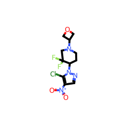 O=[N+]([O-])c1cnn(C2CCN(C3COC3)CC2(F)F)c1Cl